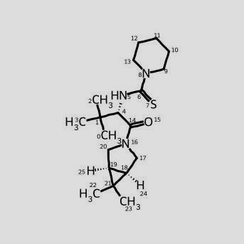 CC(C)(C)[C@H](NC(=S)N1CCCCC1)C(=O)N1C[C@@H]2[C@H](C1)C2(C)C